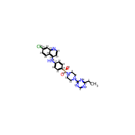 CCc1ncnc(N2CCN(S(=O)(=O)c3ccc(Nc4ccnc5cc(Cl)ccc45)cc3)CC2)n1